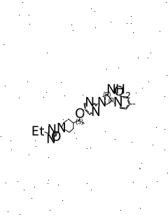 CCc1noc(N2CCC([C@H](C)Oc3cnc(N4C[C@@H](N)[C@H](n5ccc(C)cc5=O)C4)nc3)CC2)n1